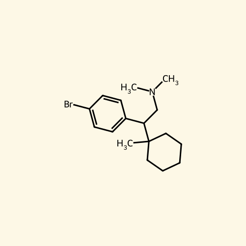 CN(C)CC(c1ccc(Br)cc1)C1(C)CCCCC1